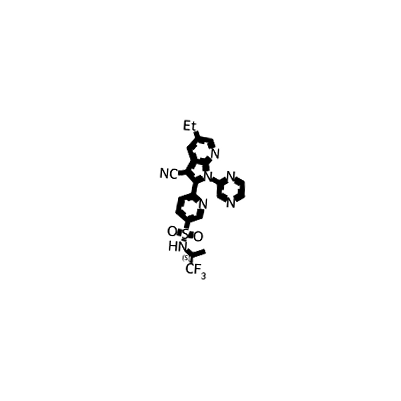 CCc1cnc2c(c1)c(C#N)c(-c1ccc(S(=O)(=O)N[C@@H](C)C(F)(F)F)cn1)n2-c1cnccn1